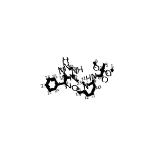 COC(C)(OC)C(=O)NC1C=CC=C(CO/N=C(\C2=NNNN2C)c2ccccc2)N1C